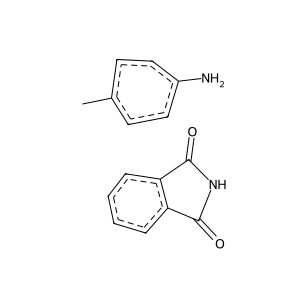 Cc1ccc(N)cc1.O=C1NC(=O)c2ccccc21